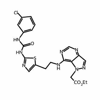 CCOC(=O)Cn1ncc2ncnc(NCCc3cnc(NC(=O)Nc4cccc(Cl)c4)s3)c21